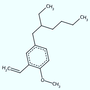 C=Cc1cc(CC(CC)CCCC)ccc1OC